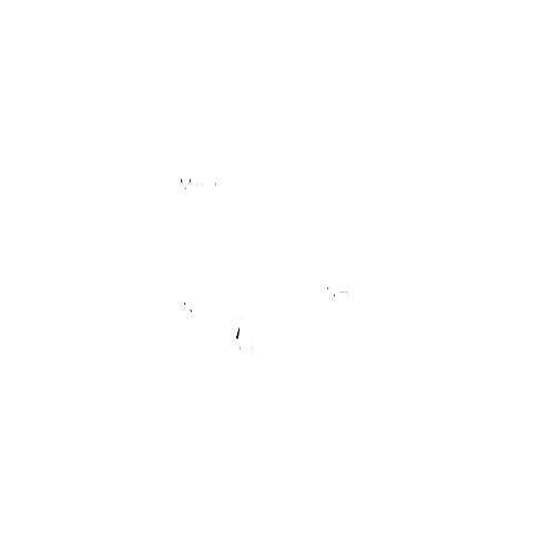 COc1cccc([C@@]23CCN(C)C[C@@]2(O)Cc2c([nH]c4c(F)cccc24)C3)c1